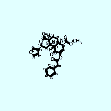 COC(=O)[C@@H]1C=C(OC(=O)Cc2ccccc2)C(=O)[C@H]2[C@@]1(N)CC[C@H]1C(=O)O[C@H](c3ccoc3)C[C@]21N